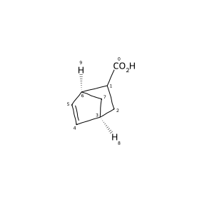 O=C(O)C1C[C@H]2C=C[C@@H]1C2